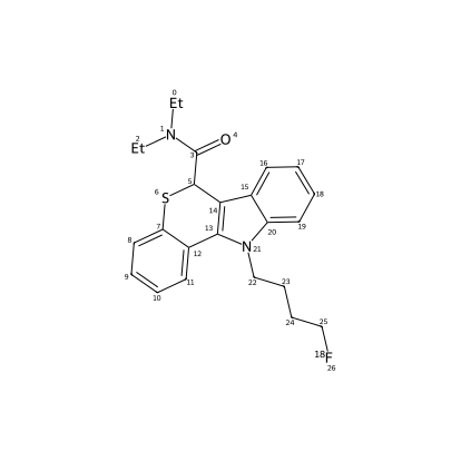 CCN(CC)C(=O)C1Sc2ccccc2-c2c1c1ccccc1n2CCCC[18F]